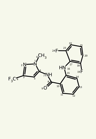 Cn1nc(C(F)(F)F)cc1NC(=O)c1ccccc1Nc1c(F)cccc1F